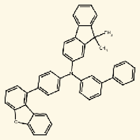 CC1(C)c2ccccc2-c2ccc(N(c3ccc(-c4cccc5oc6ccccc6c45)cc3)c3cccc(-c4ccccc4)c3)cc21